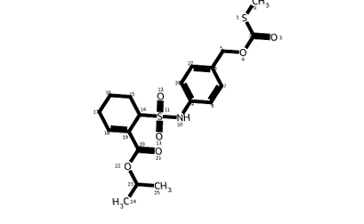 CSC(=O)OCc1ccc(NS(=O)(=O)C2CCCC=C2C(=O)OC(C)C)cc1